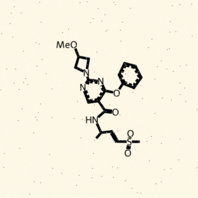 COC1CN(c2ncc(C(=O)NC(C)C=CS(C)(=O)=O)c(Oc3ccccc3)n2)C1